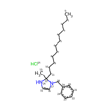 CCCCCCCCCCCCC1(C)NC=CN1Cc1ccccc1.Cl